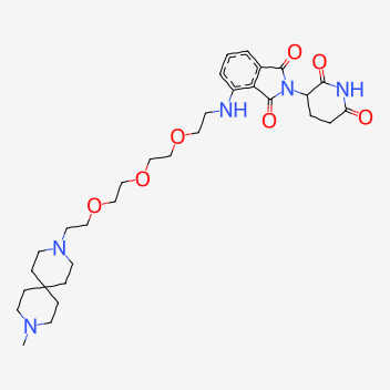 CN1CCC2(CC1)CCN(CCOCCOCCOCCNc1cccc3c1C(=O)N(C1CCC(=O)NC1=O)C3=O)CC2